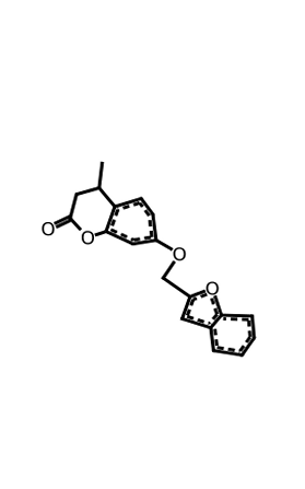 CC1CC(=O)Oc2cc(OCc3cc4ccccc4o3)ccc21